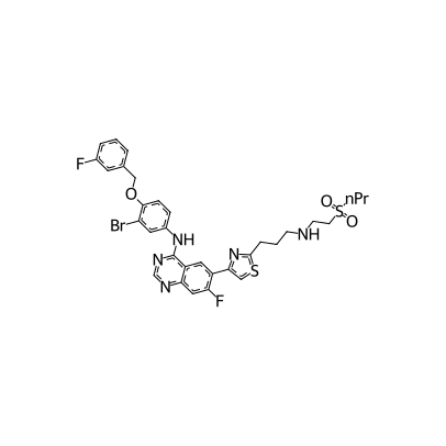 CCCS(=O)(=O)CCNCCCc1nc(-c2cc3c(Nc4ccc(OCc5cccc(F)c5)c(Br)c4)ncnc3cc2F)cs1